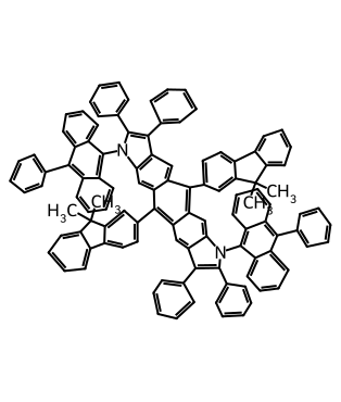 CC1(C)c2ccccc2-c2ccc(-c3c4cc5c(-c6ccccc6)c(-c6ccccc6)n(-c6c7ccccc7c(-c7ccccc7)c7ccccc67)c5cc4c(-c4ccc5c(c4)C(C)(C)c4ccccc4-5)c4cc5c(-c6ccccc6)c(-c6ccccc6)n(-c6c7ccccc7c(-c7ccccc7)c7ccccc67)c5cc34)cc21